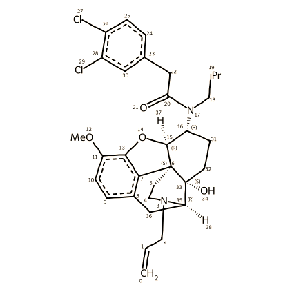 C=CCN1CC[C@]23c4c5ccc(OC)c4O[C@H]2[C@H](N(CC(C)C)C(=O)Cc2ccc(Cl)c(Cl)c2)CC[C@@]3(O)[C@H]1C5